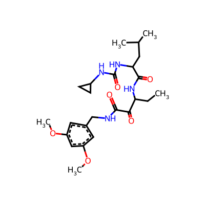 CCC(NC(=O)C(CC(C)C)NC(=O)NC1CC1)C(=O)C(=O)NCc1cc(OC)cc(OC)c1